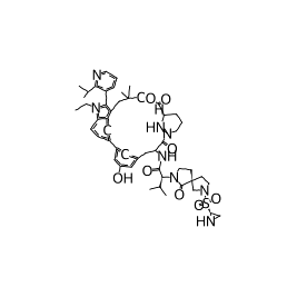 CCn1c(-c2cccnc2C(C)C)c2c3cc(ccc31)-c1cc(O)cc(c1)C[C@H](NC(=O)[C@H](C(C)C)N1CC[C@]3(CCN(S(=O)(=O)[C@H]4CN4)C3)C1=O)C(=O)N1CCC[C@H](N1)C(=O)OCC(C)(C)C2